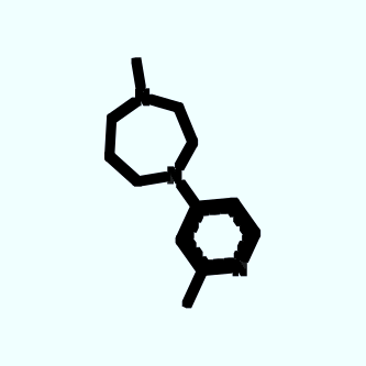 Cc1cc(N2CCCN(C)CC2)ccn1